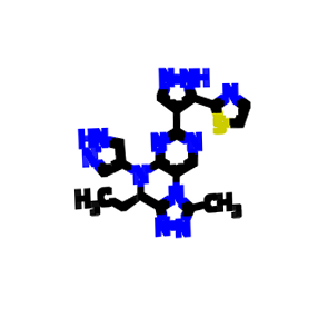 CC[C@@H]1c2nnc(C)n2-c2cnc(-c3cn[nH]c3-c3nccs3)nc2N1c1cn[nH]c1